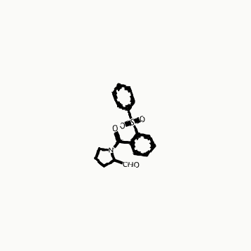 O=CC1CCCN1C(=O)c1ccccc1S(=O)(=O)c1ccccc1